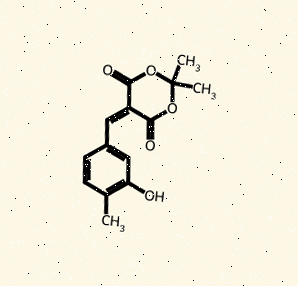 Cc1ccc(C=C2C(=O)OC(C)(C)OC2=O)cc1O